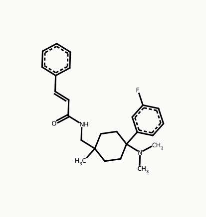 CN(C)C1(c2cccc(F)c2)CCC(C)(CNC(=O)C=Cc2ccccc2)CC1